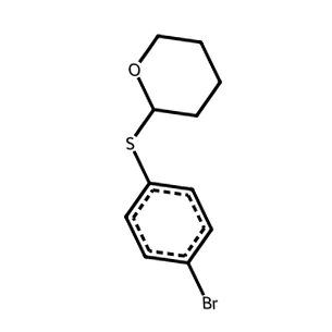 Brc1ccc(SC2CCCCO2)cc1